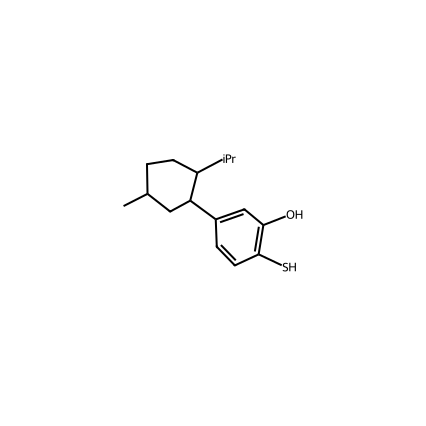 CC1CCC(C(C)C)C(c2ccc(S)c(O)c2)C1